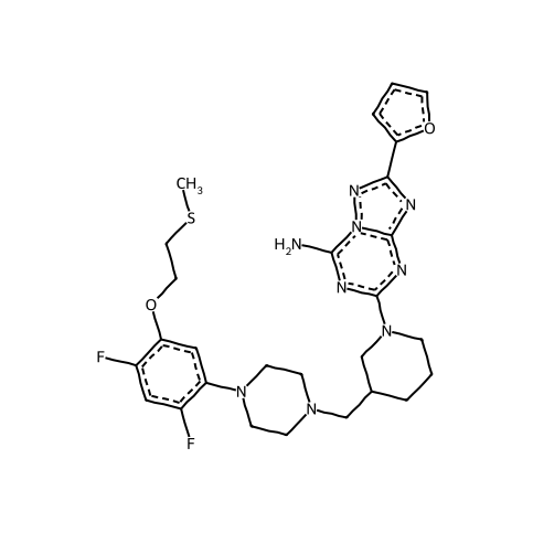 CSCCOc1cc(N2CCN(CC3CCCN(c4nc(N)n5nc(-c6ccco6)nc5n4)C3)CC2)c(F)cc1F